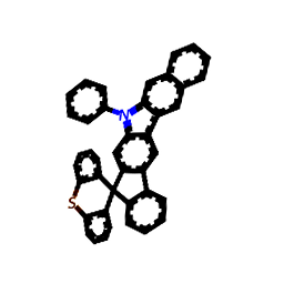 c1ccc(-n2c3cc4c(cc3c3cc5ccccc5cc32)-c2ccccc2C42c3ccccc3Sc3ccccc32)cc1